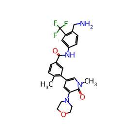 Cc1ccc(C(=O)Nc2ccc(CN)c(C(F)(F)F)c2)cc1-c1cc(N2CCOCC2)c(=O)n(C)c1